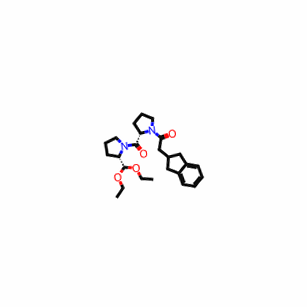 CCOC(OCC)[C@@H]1CCCN1C(=O)[C@@H]1CCCN1C(=O)CC1Cc2ccccc2C1